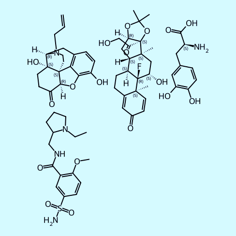 C=CCN1CC[C@]23c4c5ccc(O)c4O[C@H]2C(=O)CC[C@@]3(O)[C@H]1C5.CC1(C)O[C@@H]2C[C@H]3[C@@H]4CCC5=CC(=O)C=C[C@]5(C)[C@@]4(F)[C@@H](O)C[C@]3(C)[C@]2(C(=O)CO)O1.CCN1CCCC1CNC(=O)c1cc(S(N)(=O)=O)ccc1OC.N[C@@H](Cc1ccc(O)c(O)c1)C(=O)O